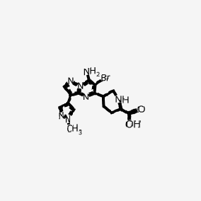 Cn1cc(-c2cnn3c(N)c(Br)c(C4CCC(C(=O)O)NC4)nc23)cn1